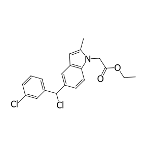 CCOC(=O)Cn1c(C)cc2cc(C(Cl)c3cccc(Cl)c3)ccc21